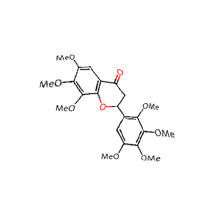 COc1cc2c(c(OC)c1OC)OC(c1cc(OC)c(OC)c(OC)c1OC)CC2=O